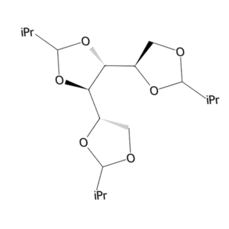 CC(C)C1O[C@H]([C@@H]2COC(C(C)C)O2)[C@@H]([C@H]2COC(C(C)C)O2)O1